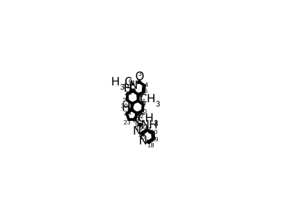 CN1C(=O)C=C[C@]2(C)C3CC[C@]4(C)[C@@H](c5nc6ncccc6[nH]5)CC[C@H]4C3CC[C@@H]12